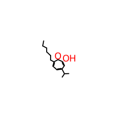 CCCCCCc1ccc(C(C)C)cc(O)c1=O